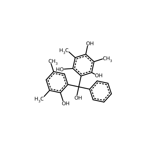 Cc1cc(C)c(O)c(C(O)(c2ccccc2)c2c(O)c(C)c(O)c(C)c2O)c1